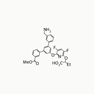 CCC(Oc1nc(Oc2cc(-c3cccc(CN)c3)cc(-c3cccc(C(=O)OC)c3)c2)c(F)cc1F)C(=O)O